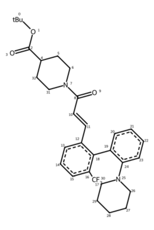 CC(C)(C)OC(=O)C1CCN(C(=O)/C=C/c2cc[c]c(C(F)(F)F)c2-c2ccccc2N2CCCCC2)CC1